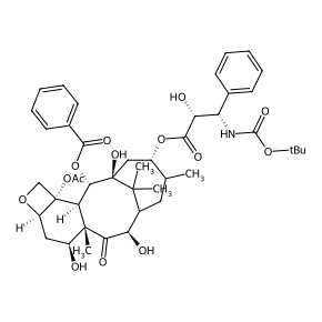 CC(=O)O[C@@]12CO[C@@H]1C[C@H](O)[C@@]1(C)C(=O)[C@H](O)C3CC(C)[C@@H](OC(=O)[C@H](O)[C@@H](NC(=O)OC(C)(C)C)c4ccccc4)C[C@@](O)([C@@H](OC(=O)c4ccccc4)[C@H]21)C3(C)C